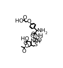 CO[C@@]1(NC(=O)C(N)c2ccc(OCC(=O)O)cc2)C(=O)N2C(C(=O)O)=C(COC(C)=O)CS[C@H]21